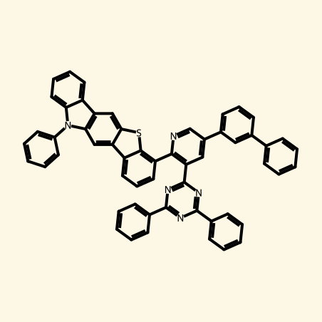 c1ccc(-c2cccc(-c3cnc(-c4cccc5c4sc4cc6c7ccccc7n(-c7ccccc7)c6cc45)c(-c4nc(-c5ccccc5)nc(-c5ccccc5)n4)c3)c2)cc1